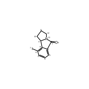 O=C1c2cccc(I)c2C2CCCN12